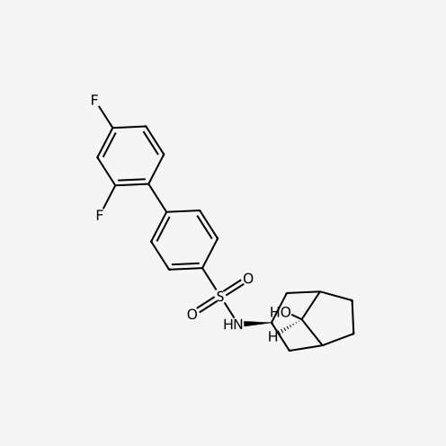 O=S(=O)(N[C@H]1CC2CCC(C1)[C@H]2O)c1ccc(-c2ccc(F)cc2F)cc1